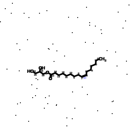 CCCCCC/C=C\CCCCCCCC(=O)OCC(O)CO